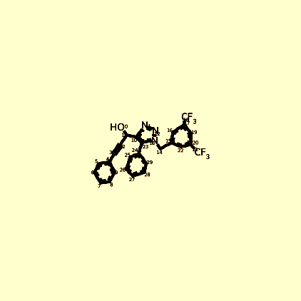 OC(C#Cc1ccccc1)c1nnn(Cc2cc(C(F)(F)F)cc(C(F)(F)F)c2)c1-c1ccccc1